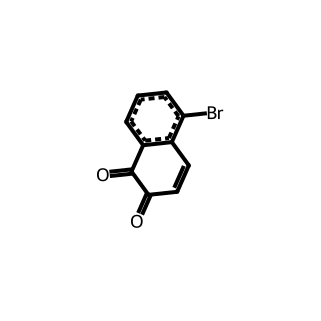 O=C1C=Cc2c(Br)cccc2C1=O